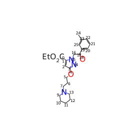 CCOC(=O)c1cc(OCCCN2CCCCC2)nn1CC(=O)c1cccc(C)c1